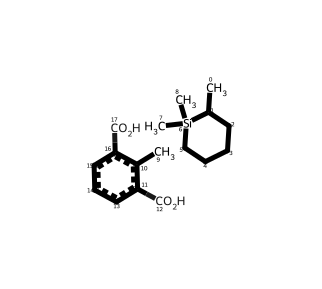 CC1CCCC[Si]1(C)C.Cc1c(C(=O)O)cccc1C(=O)O